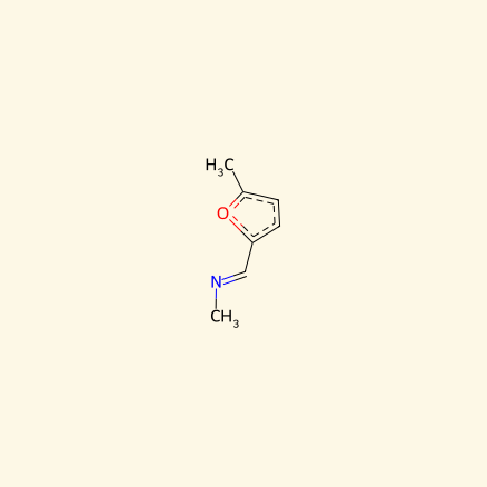 CN=Cc1ccc(C)o1